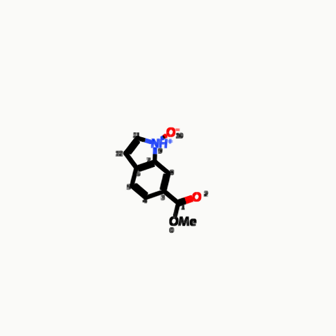 COC(=O)c1ccc2c(c1)[NH+]([O-])C=C2